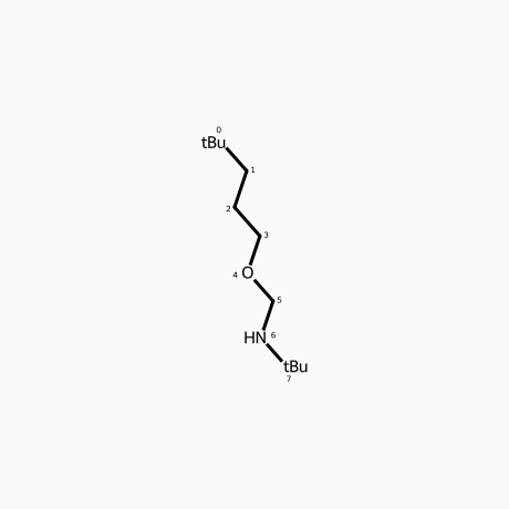 CC(C)(C)CCCOCNC(C)(C)C